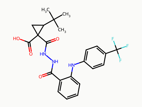 CC(C)(C)C1CC1(C(=O)O)C(=O)NNC(=O)c1ccccc1Nc1ccc(C(F)(F)F)cc1